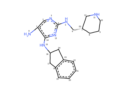 Nc1cnc(NC[C@H]2CCCNC2)nc1NC1Cc2ccccc2C1